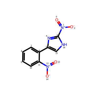 O=[N+]([O-])c1nc(-c2ccccc2[N+](=O)[O-])c[nH]1